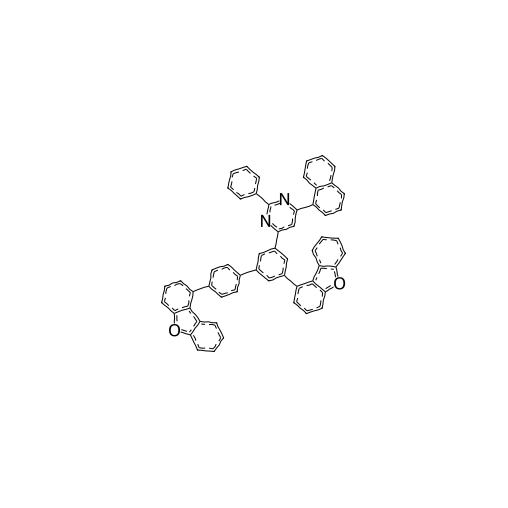 c1ccc(-c2nc(-c3cc(-c4ccc(-c5cccc6oc7ccccc7c56)cc4)cc(-c4cccc5oc6ccccc6c45)c3)cc(-c3cccc4ccccc34)n2)cc1